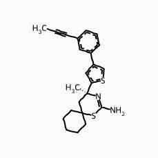 CC#Cc1cccc(-c2csc([C@]3(C)CC4(CCCCC4)SC(N)=N3)c2)c1